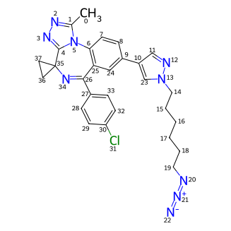 Cc1nnc2n1-c1ccc(-c3cnn(CCCCCCN=[N+]=[N-])c3)cc1C(c1ccc(Cl)cc1)=NC21CC1